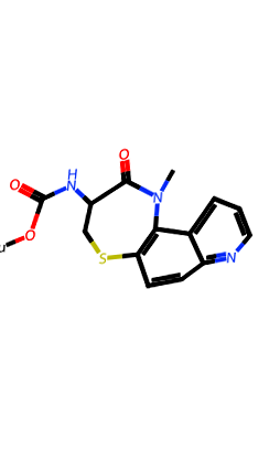 CN1C(=O)C(NC(=O)OC(C)(C)C)CSc2ccc3ncccc3c21